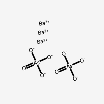 O=[As]([O-])([O-])[O-].O=[As]([O-])([O-])[O-].[Ba+2].[Ba+2].[Ba+2]